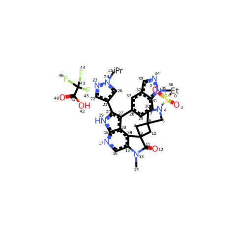 CCS(=O)(=O)N1CC2(C1)CC1(C2)C(=O)N(C)c2cnc3[nH]c(-c4cnn(C(C)C)c4)c(-c4ccc5c(cnn5C)c4)c3c21.O=C(O)C(F)(F)F